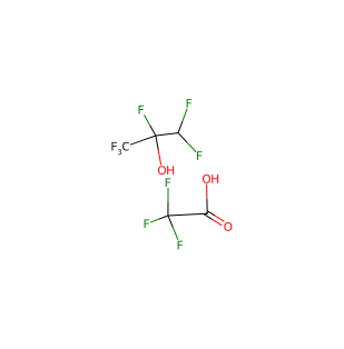 O=C(O)C(F)(F)F.OC(F)(C(F)F)C(F)(F)F